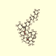 c1ccc(-c2ccc(-c3ccccc3N(c3ccc(-c4ccc5c(ccc6ccccc65)c4)cc3)c3cccc(-c4cccc5oc6c7ccccc7ccc6c45)c3)cc2)cc1